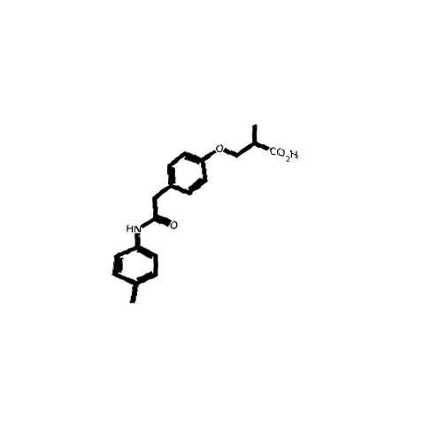 Cc1ccc(NC(=O)Cc2ccc(OCC(C)C(=O)O)cc2)cc1